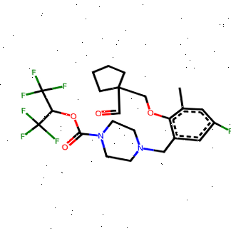 Cc1cc(F)cc(CN2CCN(C(=O)OC(C(F)(F)F)C(F)(F)F)CC2)c1OCC1(C=O)CCCC1